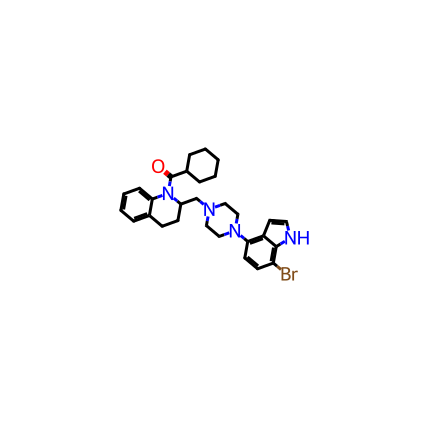 O=C(C1CCCCC1)N1c2ccccc2CCC1CN1CCN(c2ccc(Br)c3[nH]ccc23)CC1